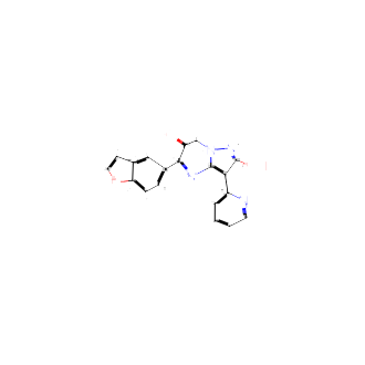 O=C1Cn2nc(O)c(-c3ccccn3)c2N=C1c1ccc2occc2c1